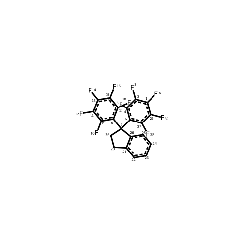 Fc1c(F)c(F)c(C2(c3c(F)c(F)c(F)c(F)c3F)CCc3ccccc32)c(F)c1F